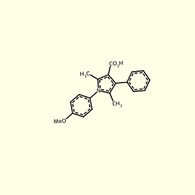 COc1ccc(-n2c(C)c(C(=O)O)c(-c3ccccc3)c2C)cc1